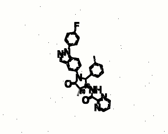 Cc1cccc(C2[C@@H](NC(=O)c3ncccn3)[C@H](C)C(=O)N2c2ccc3c(cnn3-c3ccc(F)cc3)c2)c1